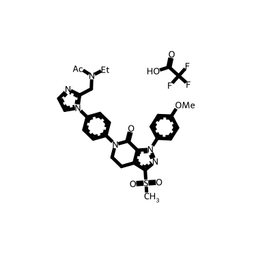 CCN(Cc1nccn1-c1ccc(N2CCc3c(S(C)(=O)=O)nn(-c4ccc(OC)cc4)c3C2=O)cc1)C(C)=O.O=C(O)C(F)(F)F